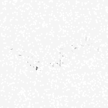 C=C/C(=C\C=C/C)c1nc(CC(=O)Nc2nnc(N3CCC(c4ccc(NC(=O)Cc5cccc(OC(F)(F)F)c5)nn4)C3)s2)cs1